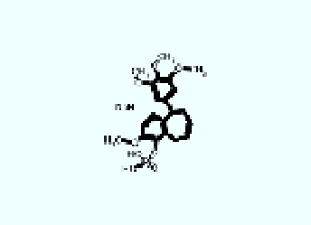 COc1cc(C2=CC=CCc3c2ccc(OC)c3OP(=O)(O)O)cc(OC)c1OC.[NaH]